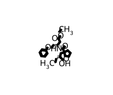 CCC[C@H](CC1(C(=O)N[C@H](CCOc2ccccc2)CC(=O)OCC)CCCC1)C(=O)O